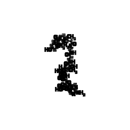 CC(CCC(=O)SCCNC(=O)CCNC(=O)C(O)C(C)(C)COP(=O)(O)OP(=O)(O)OC[C@H]1O[C@@H](n2cnc3c(N)ncnc32)[C@H](O)[C@@H]1OP(=O)(O)O)[C@H]1CC[C@H]2[C@@H]3C(=O)C=C4C[C@@H](O)CC[C@]4(C)[C@H]3CC[C@]12C